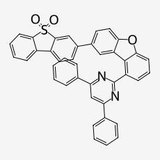 O=S1(=O)c2ccccc2-c2ccc(-c3ccc4oc5cccc(-c6nc(-c7ccccc7)cc(-c7ccccc7)n6)c5c4c3)cc21